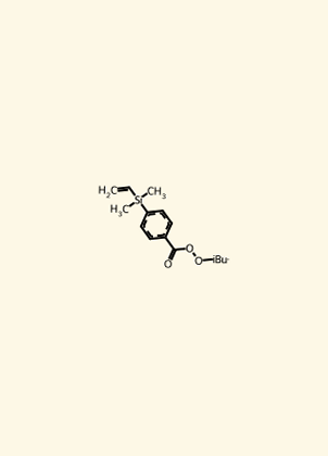 C=C[Si](C)(C)c1ccc(C(=O)OO[C](C)CC)cc1